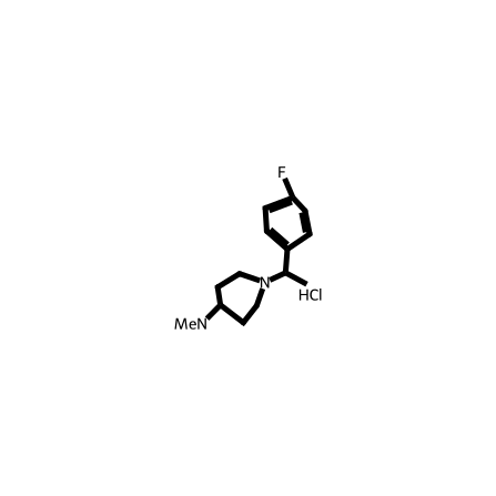 CNC1CCN(C(C)c2ccc(F)cc2)CC1.Cl